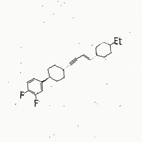 CC[C@H]1CC[C@H](C=CC#C[C@H]2CC[C@H](c3ccc(F)c(F)c3)CC2)CC1